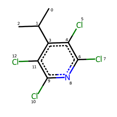 CC(C)c1c(Cl)c(Cl)nc(Cl)c1Cl